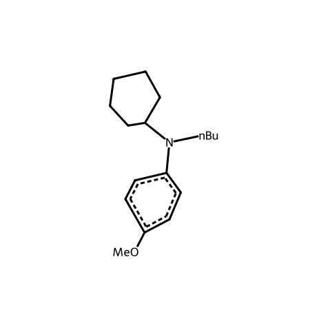 CCCCN(c1ccc(OC)cc1)C1CCCCC1